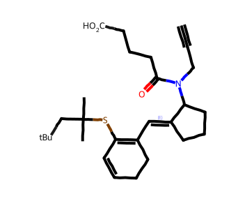 C#CCN(C(=O)CCCC(=O)O)C1CCC/C1=C\C1=C(SC(C)(C)CC(C)(C)C)C=CCC1